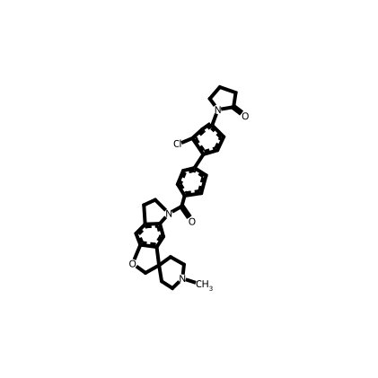 CN1CCC2(CC1)COc1cc3c(cc12)N(C(=O)c1ccc(-c2ccc(N4CCCC4=O)cc2Cl)cc1)CC3